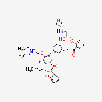 CCCCc1oc2ccccc2c1C(=O)c1cc(I)c(OCCN(CC)CC)c(I)c1.CCCNCC(O)COc1ccccc1C(=O)CCc1ccccc1